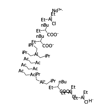 CC(=O)CC(C)=O.CC(=O)CC(C)=O.CC(=O)CC(C)=O.CC(C)[CH2][Al+][CH2]C(C)C.CC(C)[CH2][Al]([CH2]C(C)C)[CH2]C(C)C.CCCCC(CC)C(=O)[O-].CCCCC(CC)C(=O)[O-].CCCCC(CC)C(=O)[O-].C[CH2][Al]([Cl])[CH2]C.C[CH2][Al]([Cl])[CH2]C.C[CH2][Al]([Cl])[CH2]C.[H-].[Nd+3]